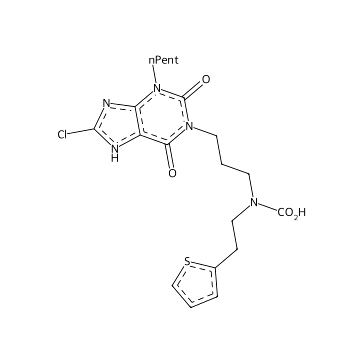 CCCCCn1c(=O)n(CCCN(CCc2cccs2)C(=O)O)c(=O)c2[nH]c(Cl)nc21